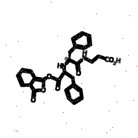 O=C(O)CCNC(=O)[C@H](Cc1ccccc1)NC(Cc1ccccc1)C(=O)OC1=C2C=CC=CC2C(=O)O1